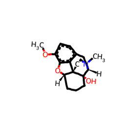 COc1ccc2c3c1O[C@H]1CCC[C@@]4(O)[C@@H](C2)N(C)CC[C@]314